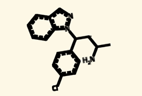 CC(N)[CH]C(c1ccc(Cl)cc1)n1ncc2ccccc21